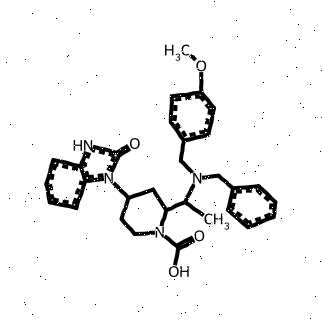 COc1ccc(CN(Cc2ccccc2)C(C)C2CC(n3c(=O)[nH]c4ccccc43)CCN2C(=O)O)cc1